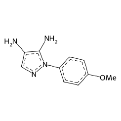 COc1ccc(-n2ncc(N)c2N)cc1